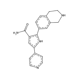 NC(=O)c1cc(-c2ccncc2)[nH]c1-c1ccc2c(c1)CNCC2